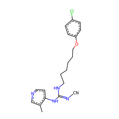 Cc1cnccc1N/C(=N/C#N)NCCCCCCOc1ccc(Cl)cc1